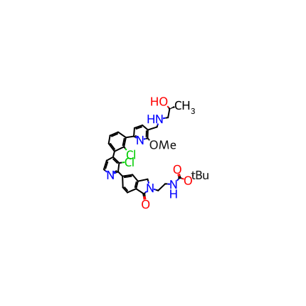 COc1nc(-c2cccc(-c3ccnc(-c4ccc5c(c4)CN(CCNC(=O)OC(C)(C)C)C5=O)c3Cl)c2Cl)ccc1CNC[C@H](C)O